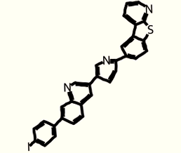 Ic1ccc(-c2ccc3cc(-c4ccc(-c5ccc6sc7ncccc7c6c5)nc4)cnc3c2)cc1